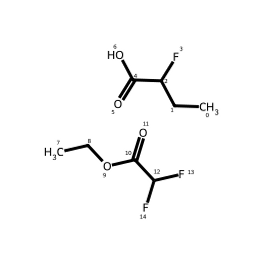 CCC(F)C(=O)O.CCOC(=O)C(F)F